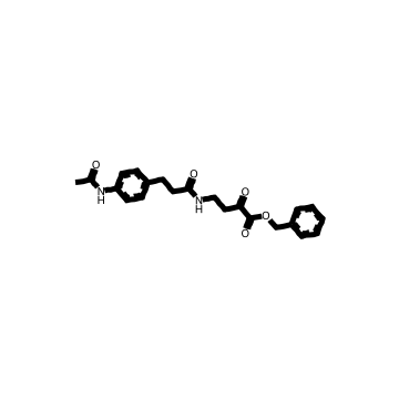 CC(=O)Nc1ccc(CCC(=O)NCCC(=O)C(=O)OCc2ccccc2)cc1